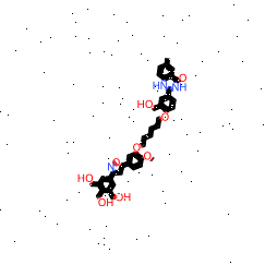 COc1ccc(C2CC(c3cc(CO)c(CO)c(CO)c3)=NO2)cc1OCCCCCCOc1ccc(C2NC(=O)c3cc(C)ccc3N2)cc1CO